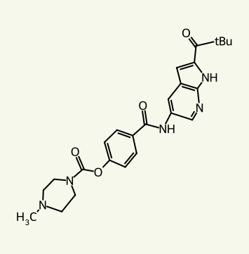 CN1CCN(C(=O)Oc2ccc(C(=O)Nc3cnc4[nH]c(C(=O)C(C)(C)C)cc4c3)cc2)CC1